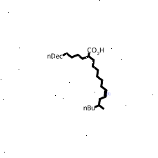 CCCCCCCCCCCCCCC(CCCCCC/C=C\CC(C)CCCC)C(=O)O